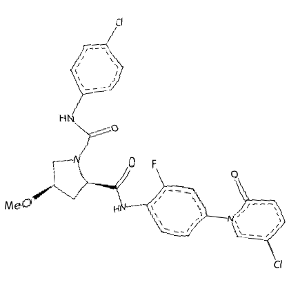 CO[C@@H]1C[C@H](C(=O)Nc2ccc(-n3cc(Cl)ccc3=O)cc2F)N(C(=O)Nc2ccc(Cl)cc2)C1